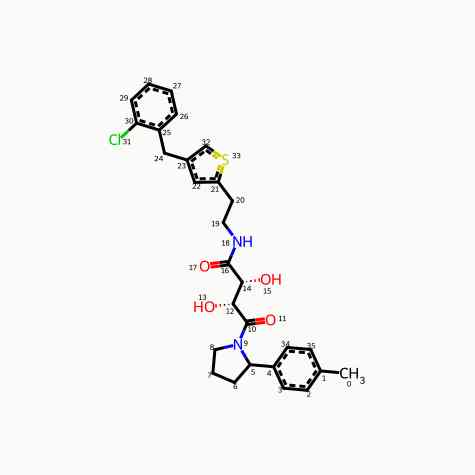 Cc1ccc(C2CCCN2C(=O)[C@H](O)[C@@H](O)C(=O)NCCc2cc(Cc3ccccc3Cl)cs2)cc1